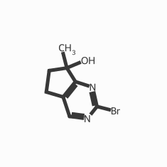 CC1(O)CCc2cnc(Br)nc21